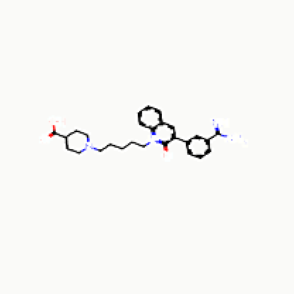 N=C(N)c1cccc(-c2cc3ccccc3n(CCCCCN3CCC(C(=O)O)CC3)c2=O)c1